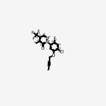 CC#CCOc1cc(-n2ncc(C(F)(F)F)c(C)c2=O)c(F)cc1Cl